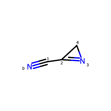 N#CC1=NC1